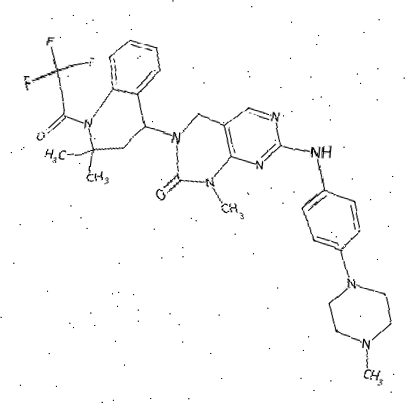 CN1CCN(c2ccc(Nc3ncc4c(n3)N(C)C(=O)N(C3CC(C)(C)N(C(=O)C(F)(F)F)c5ccccc53)C4)cc2)CC1